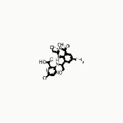 CCc1nc2c(C(CO)Nc3ccc(Cl)nc3C(=O)O)cc(C)cc2c(=O)n1C